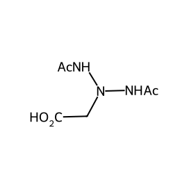 [CH2]C(=O)NN(CC(=O)O)NC([CH2])=O